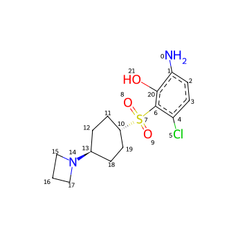 Nc1ccc(Cl)c(S(=O)(=O)[C@H]2CC[C@H](N3CCC3)CC2)c1O